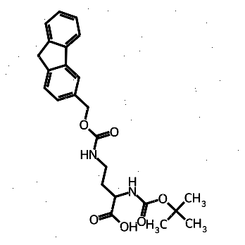 CC(C)(C)OC(=O)NC(CCNC(=O)OCc1ccc2c(c1)-c1ccccc1C2)C(=O)O